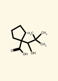 CC(C)(C)C(O)C1(C(=O)O)CCCC1